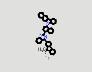 CC1(C)c2ccccc2-c2ccc(-c3nc(-c4ccc(-n5c6ccccc6c6cc7ccccc7cc65)c5ccccc45)nc4ccccc34)cc21